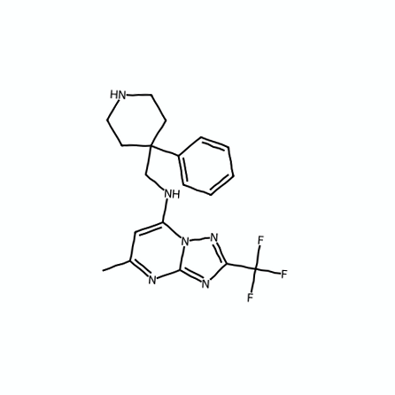 Cc1cc(NCC2(c3ccccc3)CCNCC2)n2nc(C(F)(F)F)nc2n1